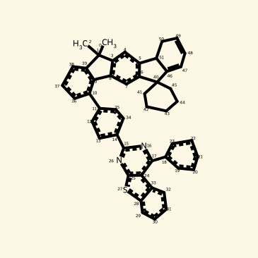 CC1(C)c2cc3c(cc2-c2c(-c4ccc(-c5nc(-c6ccccc6)c6c(n5)sc5ccccc56)cc4)cccc21)C1(CCCCC1)C1=CC=CCC13